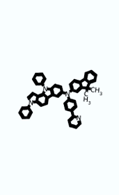 CC1(C)c2ccccc2-c2ccc(N(c3ccc(-c4ccccn4)cc3)c3ccc4c(c3)c3ccc5c(ccn5-c5ccccc5)c3n4-c3ccccc3)cc21